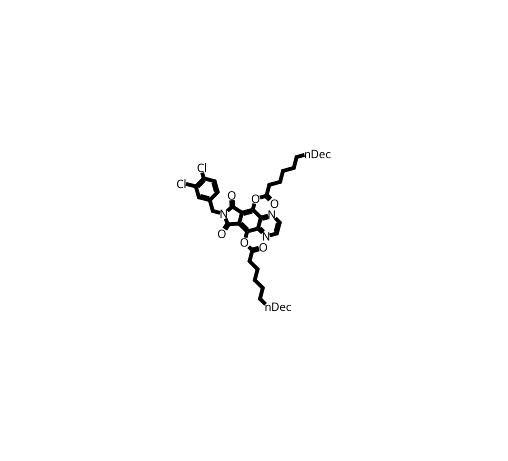 CCCCCCCCCCCCCCCC(=O)Oc1c2c(c(OC(=O)CCCCCCCCCCCCCCC)c3nccnc13)C(=O)N(Cc1ccc(Cl)c(Cl)c1)C2=O